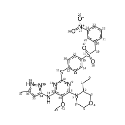 CCC1COCCN1c1nc(Sc2ccc(S(=O)(=O)Cc3cccc([N+](=O)[O-])c3)cc2)nc(Nc2cc(C)[nH]n2)c1OC